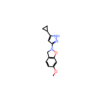 COc1ccc2c(c1)ON(c1cc(C3CC3)[nH]n1)C2